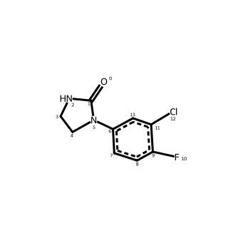 O=C1NCCN1c1ccc(F)c(Cl)c1